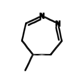 CC1CC=NN=CC1